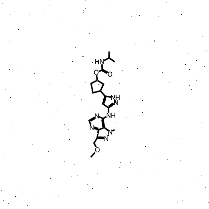 COCc1nn(C)c2c(Nc3cc(C4CCC(OC(=O)NC(C)C)C4)[nH]n3)ncnc12